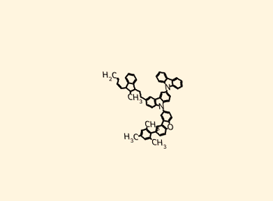 C=C/C=C\C1c2ccccc2C(CCc2ccc3c(c2)c2cc(-n4c5ccccc5c5ccccc54)ccc2n3-c2ccc3oc4ccc(-c5c(C)cc(C)cc5C)cc4c3c2)C1C